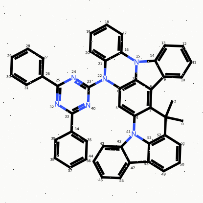 CC1(C)c2c(cc3c4c2c2ccccc2n4-c2ccccc2N3c2nc(-c3ccccc3)nc(-c3ccccc3)n2)-n2c3ccccc3c3cccc1c32